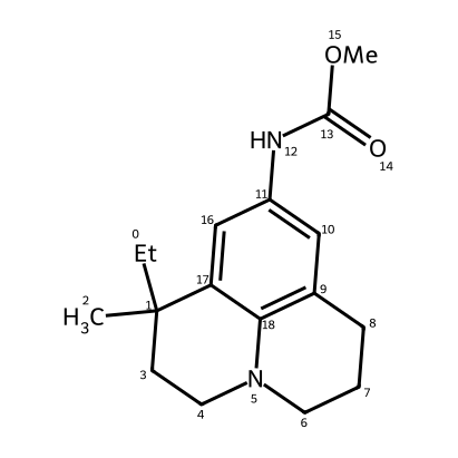 CCC1(C)CCN2CCCc3cc(NC(=O)OC)cc1c32